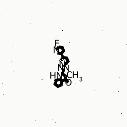 Cc1c(-c2nc3ccc(-c4ccc(F)nc4)cn3n2)[nH]c2ccccc2c1=O